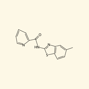 Cc1ccc2sc(NC(=O)c3ccccn3)nc2c1